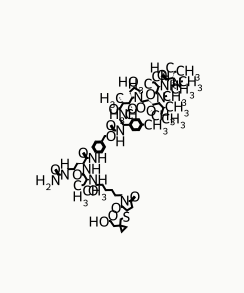 CC[C@H](C)[C@@H]([C@@H](CC(=O)N1C[C@@H](O)C[C@H]1[C@H](OC)[C@@H](C)C(=O)NCC(NC(=O)OCc1ccc(NC(=O)[C@H](CCCNC(N)=O)NC(=O)[C@@H](NC(=O)CCCCCN2C(=O)CC(SCC3(CC(=O)O)CC3)C2=O)C(C)C)cc1)c1ccc(C)cc1)OC)N(C)C(=O)[C@@H](NC(=O)[C@H](C(C)C)N(C)C)C(C)C